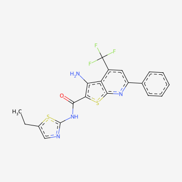 CCc1cnc(NC(=O)c2sc3nc(-c4ccccc4)cc(C(F)(F)F)c3c2N)s1